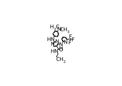 C=CCNC(=O)c1cnc(Nc2ccc(N(C)C)cc2)nc1Nc1cccc(C(F)(F)F)n1